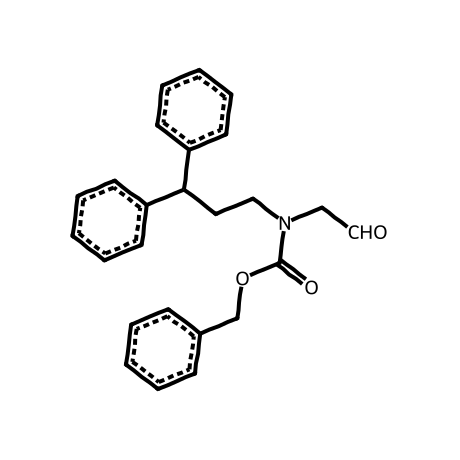 O=CCN(CCC(c1ccccc1)c1ccccc1)C(=O)OCc1ccccc1